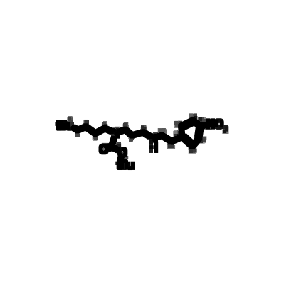 CC(C)(C)[CH]CCCN(CCCNCCc1ccc([N+](=O)[O-])cc1)C(=O)OC(C)(C)C